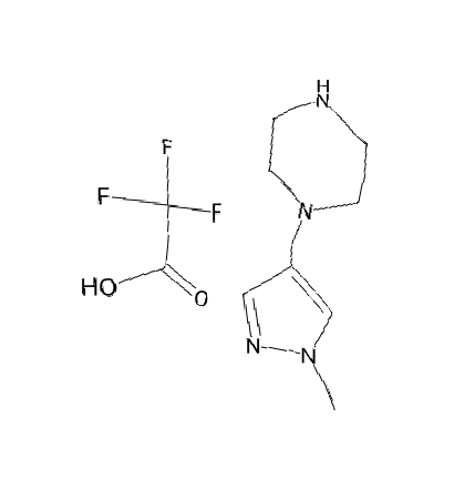 Cn1cc(N2CCNCC2)cn1.O=C(O)C(F)(F)F